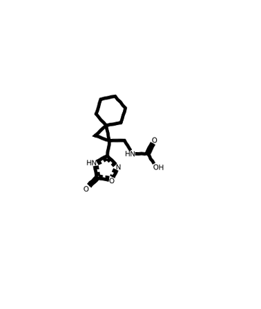 O=C(O)NCC1(c2noc(=O)[nH]2)CC12CCCCC2